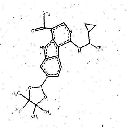 CC1(C)OB(c2ccc3c(c2)[nH]c2c(C(N)=O)cnc(N[C@H](C4CC4)C(F)(F)F)c23)OC1(C)C